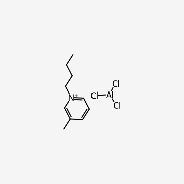 CCCC[n+]1cccc(C)c1.[Cl][Al]([Cl])[Cl]